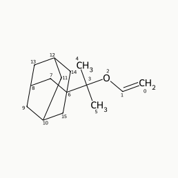 C=COC(C)(C)C12CC3CC(CC(C3)C1)C2